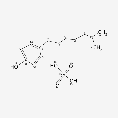 CC(C)CCCCCc1ccc(O)cc1.O=S(=O)(O)O